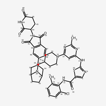 Cc1nc(Nc2ncc(C(=O)Nc3c(C)cccc3Cl)s2)cc(N2CCC(CN3C4CCC3CN(c3ccc5c(c3)C(=O)N(C3CCC(=O)NC3=O)C5=O)C4)CC2)n1